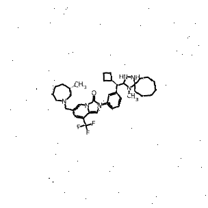 C[C@H]1CCCCN(Cc2cc(C(F)(F)F)c3cn(-c4cccc([C@@H](C5CCC5)C5NNC6(CCCCCCC6)N5C)c4)c(=O)n3c2)C1